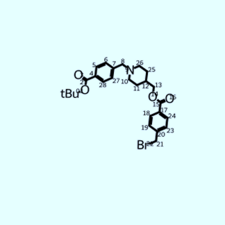 CC(C)(C)OC(=O)c1ccc(CN2CCC(COC(=O)c3ccc(CBr)cc3)CC2)cc1